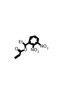 C=CC(=O)OC(CC)c1cccc([N+](=O)[O-])c1[N+](=O)[O-]